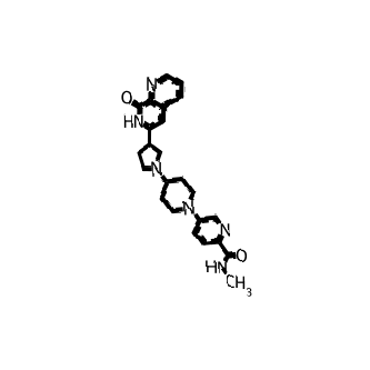 CNC(=O)c1ccc(N2CCC(N3CCC(c4cc5cccnc5c(=O)[nH]4)C3)CC2)cn1